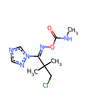 CNC(=O)ON=C(n1cncn1)C(C)(C)CCl